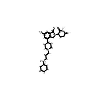 O=C1CCC(N2Cc3c(cc(F)cc3C3CCN(CCCNC4CCCCC4)CC3)C2=O)C(=O)N1